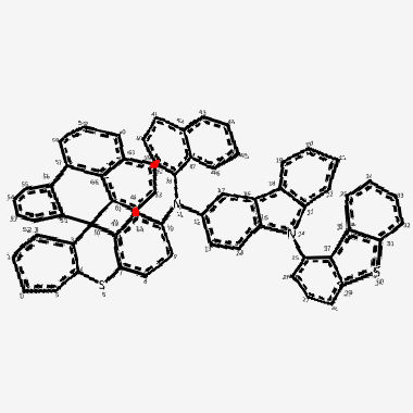 c1ccc2c(c1)Sc1ccc(N(c3ccc4c(c3)c3ccccc3n4-c3cccc4sc5ccccc5c34)c3cccc4ccccc34)cc1C21c2ccccc2-c2cccc3cccc1c23